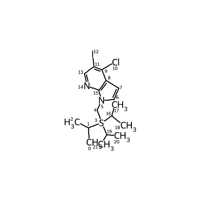 CC(C)S(Cn1ccc2c(Cl)c(I)cnc21)(C(C)C)C(C)C